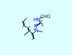 C=C(/C(C)=C/C=C\C)N(C)/N=C(\C)NC=O